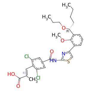 CCCC[C@@H](OCCC)c1cccc(-c2csc(NC(=O)c3cc(Cl)c(/C=C(\C)C(=O)O)c(Cl)c3)n2)c1OC